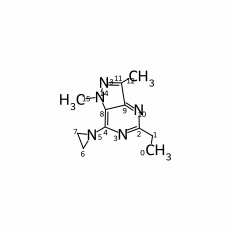 CCc1nc(N2CC2)c2c(n1)c(C)nn2C